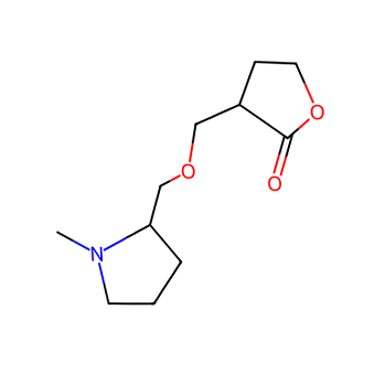 CN1CCCC1COCC1CCOC1=O